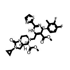 COC(=O)C1=C(CN2CCN3C(=O)N(C4CC4)C[C@@H]3[C@H]2C(=O)OC)NC(c2nccs2)=N[C@H]1c1ccc(F)c(F)c1C